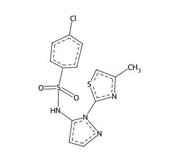 Cc1csc(-n2nccc2NS(=O)(=O)c2ccc(Cl)cc2)n1